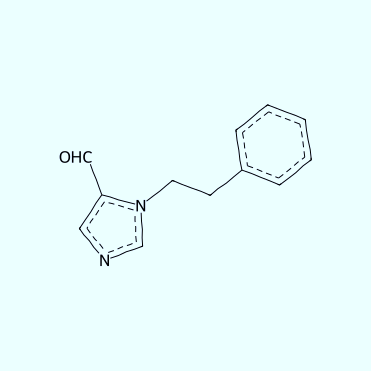 O=Cc1cncn1CCc1ccccc1